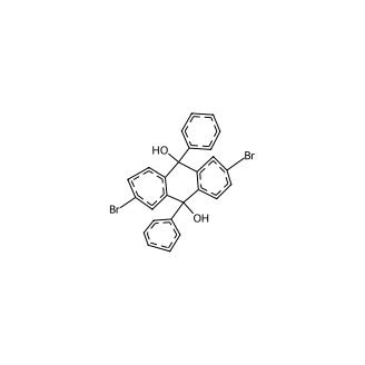 OC1(c2ccccc2)c2ccc(Br)cc2C(O)(c2ccccc2)c2ccc(Br)cc21